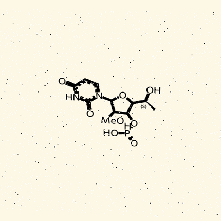 COC1C(O[PH](=O)O)C([C@H](C)O)OC1n1ccc(=O)[nH]c1=O